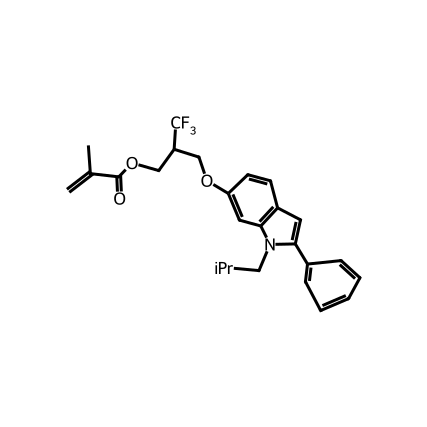 C=C(C)C(=O)OCC(COc1ccc2cc(-c3ccccc3)n(CC(C)C)c2c1)C(F)(F)F